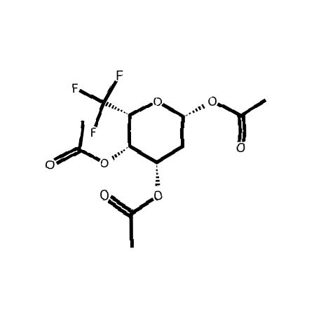 CC(=O)O[C@@H]1C[C@H](OC(C)=O)[C@H](OC(C)=O)[C@H](C(F)(F)F)O1